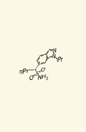 CCCC(c1ccc2cnn(C(C)C)c2c1)S(N)(=O)=O